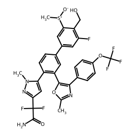 Cc1nc(-c2ccc(OC(F)(F)F)cc2)c(-c2cc(-c3cc(F)c(CO)c([S+](C)[O-])c3)ccc2-c2cc(C(F)(F)C(N)=O)nn2C)o1